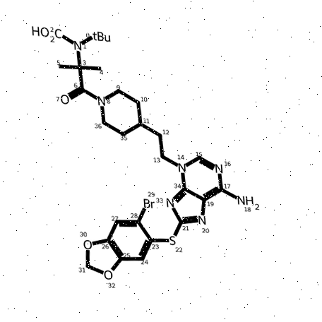 CC(C)(C)N(C(=O)O)C(C)(C)C(=O)N1CCC(CCn2cnc(N)c3nc(Sc4cc5c(cc4Br)OCO5)nc2-3)CC1